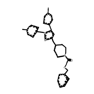 Cc1ccc(-c2cc(C3CCN(C(=O)OCc4ccccc4)CC3)nn2-c2ccc(C)cc2)cc1